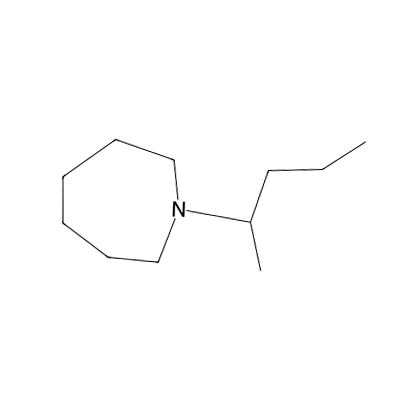 CCCC(C)N1CCCCCC1